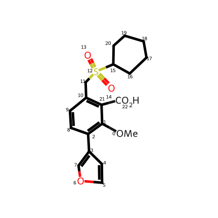 COc1c(-c2ccoc2)ccc(CS(=O)(=O)C2CCCCC2)c1C(=O)O